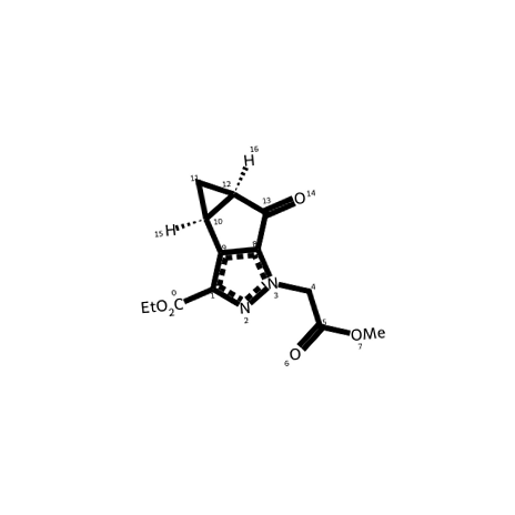 CCOC(=O)c1nn(CC(=O)OC)c2c1[C@H]1C[C@H]1C2=O